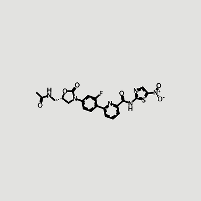 CC(=O)NC[C@H]1CN(c2ccc(-c3cccc(C(=O)Nc4ncc([N+](=O)[O-])s4)n3)c(F)c2)C(=O)O1